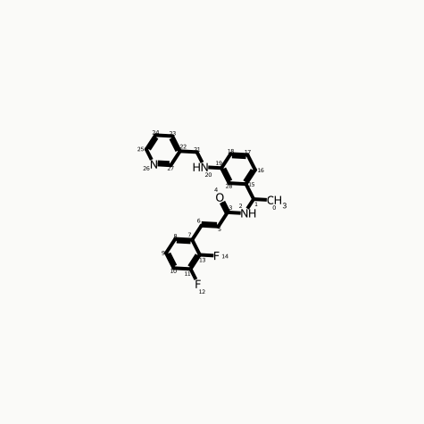 CC(NC(=O)C=Cc1cccc(F)c1F)c1cccc(NCc2cccnc2)c1